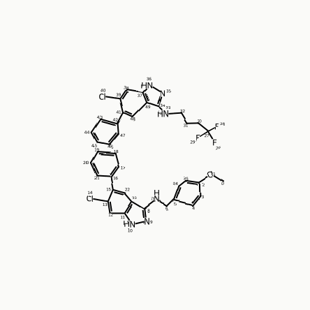 COc1ccc(CNc2n[nH]c3cc(Cl)c(-c4ccccc4)cc23)cc1.FC(F)(F)CCCNc1n[nH]c2cc(Cl)c(-c3ccccc3)cc12